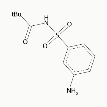 CC(C)(C)C(=O)NS(=O)(=O)c1cccc(N)c1